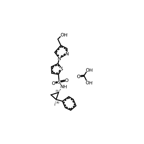 C[C@]1(c2ccccc2)C[C@@H]1NS(=O)(=O)c1ccc(-n2cc(CO)cn2)s1.O=C(O)O